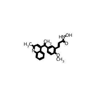 C=C(c1ccc(OC)c(/C=C/C(=O)NO)c1)c1cc(C)nc2ccccc12